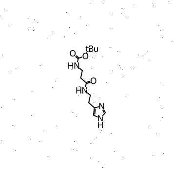 CC(C)(C)OC(=O)NCCC(=O)NCCc1c[nH]cn1